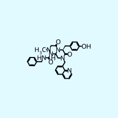 CN1CC(=O)N2[C@@H](Cc3ccc(O)cc3)C(=O)N(Cc3cccc4cccnc34)C[C@@H]2N1C(=O)NCc1ccccc1